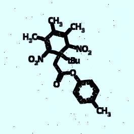 CC1=C(C)C([N+](=O)[O-])C(CC(=O)Oc2ccc(C)cc2)(C(C)(C)C)C([N+](=O)[O-])=C1C